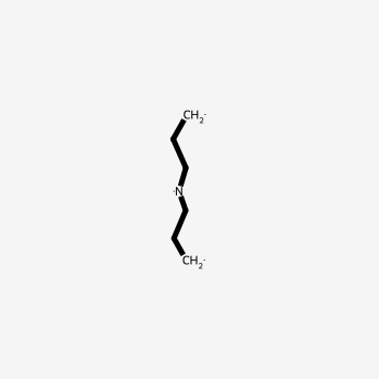 [CH2]CC[N]CC[CH2]